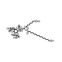 CCCCCCCCCCCCCCCC(=O)O[C@H](COC(=O)CCCCCCCCCCCCCCS)COP(=O)(O)OC1C(O)[C@H](OP(=O)(O)O)C(O)[C@H](OP(=O)(O)O)[C@@H]1O